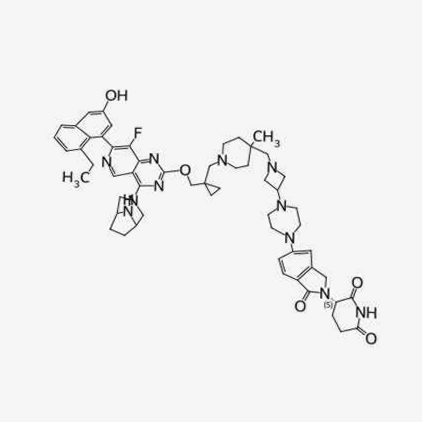 CCc1cccc2cc(O)cc(-c3ncc4c(N5CC6CCC(C5)N6)nc(OCC5(CN6CCC(C)(CN7CC(N8CCN(c9ccc%10c(c9)CN([C@H]9CCC(=O)NC9=O)C%10=O)CC8)C7)CC6)CC5)nc4c3F)c12